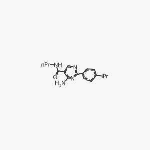 CCCNC(=O)c1cnc(-c2ccc(C(C)C)cc2)nc1N